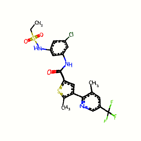 CCS(=O)(=O)Nc1cc(Cl)cc(NC(=O)c2cc(-c3ncc(C(F)(F)F)cc3C)c(C)s2)c1